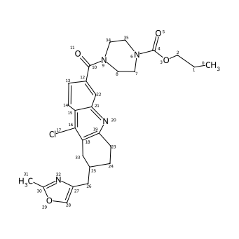 CCCOC(=O)N1CCN(C(=O)c2ccc3c(Cl)c4c(nc3c2)CCC(Cc2coc(C)n2)C4)CC1